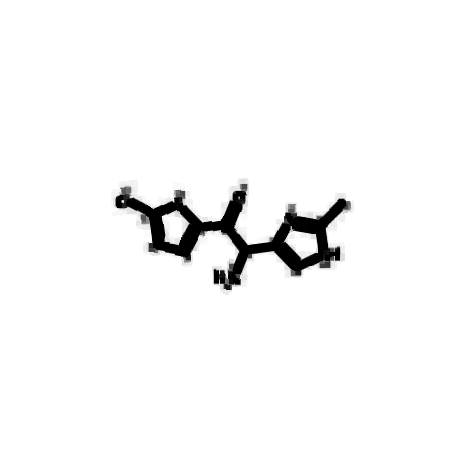 Cc1nc(C(N)C(=O)c2ccc(Cl)s2)c[nH]1